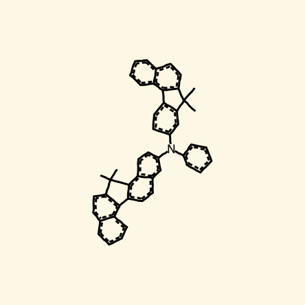 CC1(C)c2cc(N(c3ccccc3)c3ccc4c5c(ccc4c3)-c3c(ccc4ccccc34)C5(C)C)ccc2-c2c1ccc1ccccc21